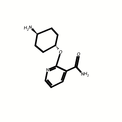 NC(=O)c1cccnc1O[C@H]1CC[C@H](N)CC1